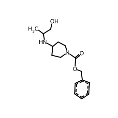 CC(CO)NC1CCN(C(=O)OCc2ccccc2)CC1